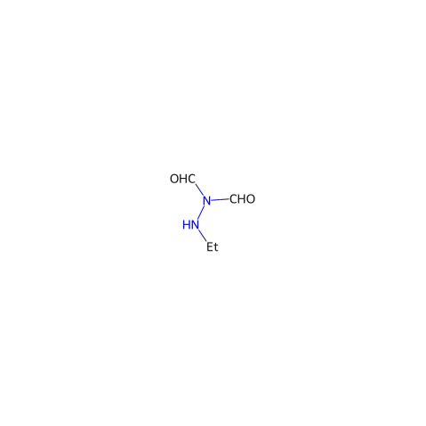 CCNN(C=O)C=O